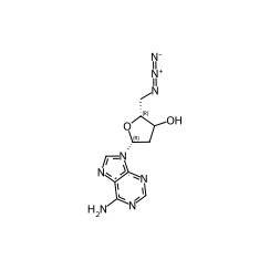 [N-]=[N+]=NC[C@H]1O[C@@H](n2cnc3c(N)ncnc32)CC1O